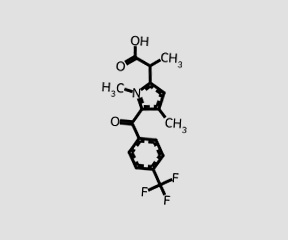 Cc1cc(C(C)C(=O)O)n(C)c1C(=O)c1ccc(C(F)(F)F)cc1